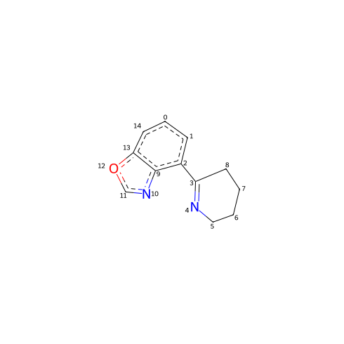 c1cc(C2=NCCCC2)c2ncoc2c1